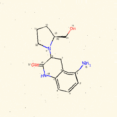 Nc1cccc2c1CC(N1CCC[C@H]1CO)C(=O)N2